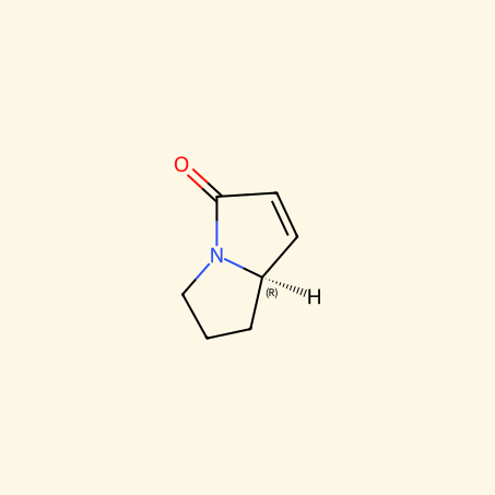 O=C1C=C[C@H]2CCCN12